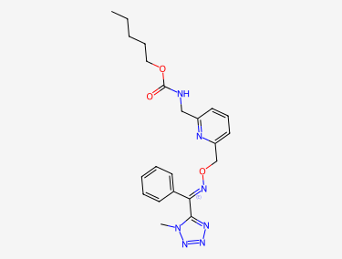 CCCCCOC(=O)NCc1cccc(CO/N=C(\c2ccccc2)c2nnnn2C)n1